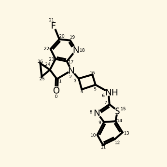 O=C1N(C2CC(Nc3nc4ccccc4s3)C2)c2ncc(F)cc2C12CC2